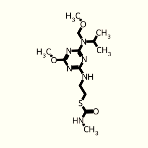 CNC(=O)SCCNc1nc(OC)nc(N(COC)C(C)C)n1